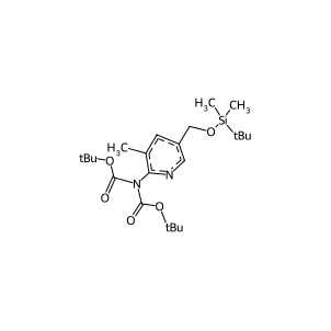 Cc1cc(CO[Si](C)(C)C(C)(C)C)cnc1N(C(=O)OC(C)(C)C)C(=O)OC(C)(C)C